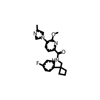 COc1nc(C(=O)NCC2(c3ccc(F)cc3)CCC2)ccc1-n1cnc(C)c1